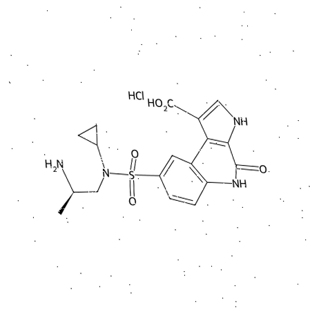 C[C@@H](N)CN(C1CC1)S(=O)(=O)c1ccc2[nH]c(=O)c3[nH]cc(C(=O)O)c3c2c1.Cl